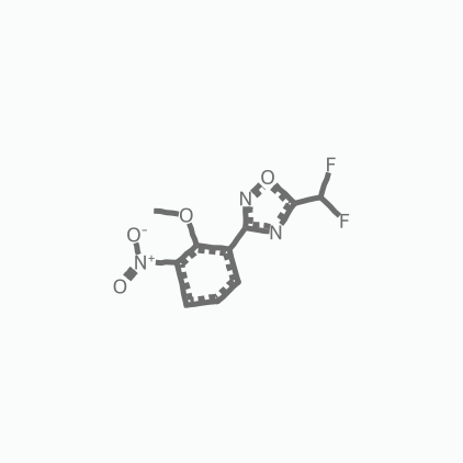 COc1c(-c2noc(C(F)F)n2)cccc1[N+](=O)[O-]